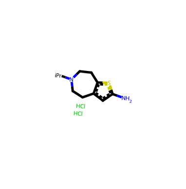 CC(C)N1CCc2cc(N)sc2CC1.Cl.Cl